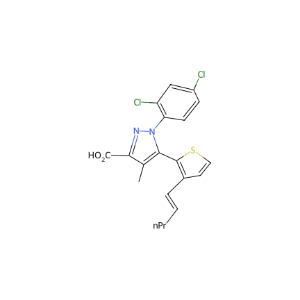 CCCC=Cc1ccsc1-c1c(C)c(C(=O)O)nn1-c1ccc(Cl)cc1Cl